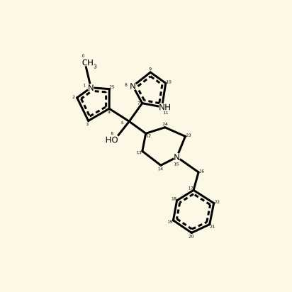 Cn1ccc(C(O)(c2ncc[nH]2)C2CCN(Cc3ccccc3)CC2)c1